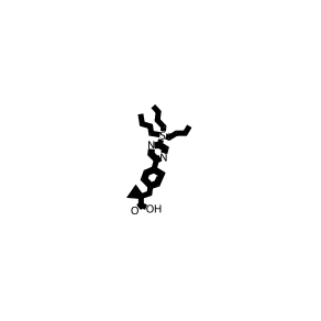 CCC[CH2][Sn]([CH2]CCC)([CH2]CCC)[c]1cnc(-c2ccc(CC3(C(=O)O)CC3)cc2)cn1